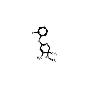 CC1=CC(Oc2ccccc2F)=NCC1(C)NN